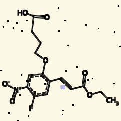 CCOC(=O)/C=C/c1cc(F)c([N+](=O)[O-])cc1OCCCC(=O)O